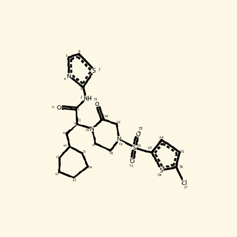 O=C(Nc1nccs1)[C@H](CC1CCCCC1)N1CCN(S(=O)(=O)c2ccc(Cl)s2)CC1=O